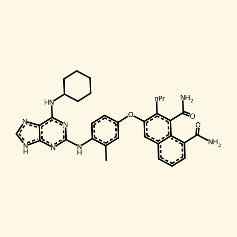 CCCc1c(Oc2ccc(Nc3nc(NC4CCCCC4)c4nc[nH]c4n3)c(C)c2)cc2cccc(C(N)=O)c2c1C(N)=O